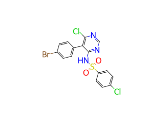 O=S(=O)(Nc1ncnc(Cl)c1-c1ccc(Br)cc1)c1ccc(Cl)cc1